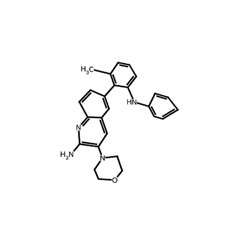 Cc1cccc(Nc2ccccc2)c1-c1ccc2nc(N)c(N3CCOCC3)cc2c1